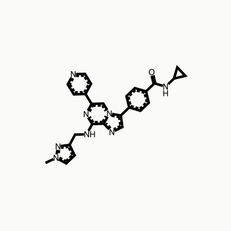 Cn1ccc(CNc2nc(-c3ccncc3)cn3c(-c4ccc(C(=O)NC5CC5)cc4)cnc23)n1